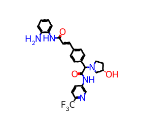 Nc1ccccc1NC(=O)/C=C/c1ccc(C(C(=O)Nc2ccc(C(F)(F)F)nc2)N2CC[C@H](O)C2)cc1